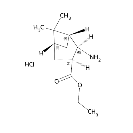 CCOC(=O)[C@H]1C[C@H]2C[C@@H]([C@H]1N)C2(C)C.Cl